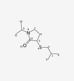 CC(C)CSC1CCN(C(C)C)C1=O